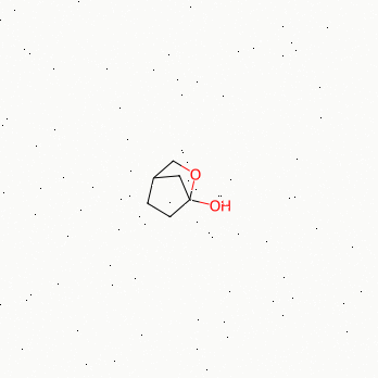 OC12CCC(CO1)C2